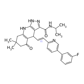 CC(C)NC(=O)c1n[nH]c2c1C(/C=C/c1ccc(-c3cccc(F)c3)cn1)C1=C(CC(C)(C)CC1=O)N2